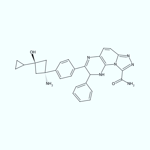 NC(=O)c1nnc2ccc3c(n12)NC(c1ccccc1)C(c1ccc([C@]2(N)C[C@@](O)(C4CC4)C2)cc1)=N3